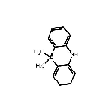 CC1(C)C2=CCCC=C2Nc2ccccc21